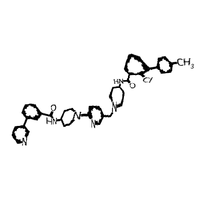 Cc1ccc(-c2cccc(C(=O)NC3CCN(Cc4ccc(N5CCC(NC(=O)c6cccc(-c7cccnc7)c6)CC5)nc4)CC3)c2Cl)cc1